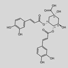 O=C(C=Cc1ccc(O)c(O)c1)O[C@H]1[C@H](O)C[C@](O)(C(=O)O)C[C@H]1OC(=O)C=Cc1ccc(O)c(O)c1